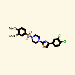 COc1ccc(S(=O)(=O)N2CCN(c3nc(-c4ccc(Cl)c(Cl)c4)cs3)CC2)cc1OC